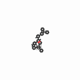 Cc1ccc(-c2ccc3sc4cccc(-c5nc(-c6ccccc6)nc(-c6ccccc6)n5)c4c3c2)cc1-c1cc(-c2ccc3c(c2)c2ccccc2n3-c2ccccc2)ccc1C